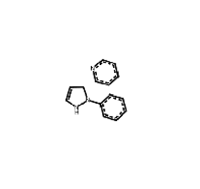 C1=CNN(c2ccccc2)C1.c1ccncc1